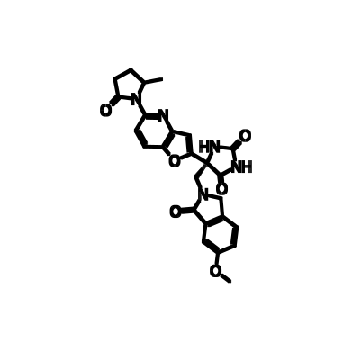 COc1ccc2c(c1)C(=O)N(C[C@@]1(c3cc4nc(N5C(=O)CCC5C)ccc4o3)NC(=O)NC1=O)C2